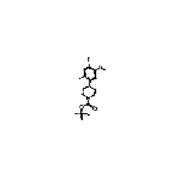 COc1cc(C2CCN(C(=O)OC(C)(C)C)CC2)c(C)cc1F